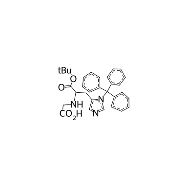 CC(C)(C)OC(=O)C(Cc1cncn1C(c1ccccc1)(c1ccccc1)c1ccccc1)NCC(=O)O